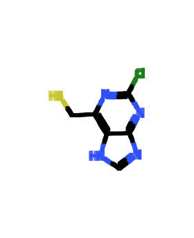 SCc1nc(Cl)nc2nc[nH]c12